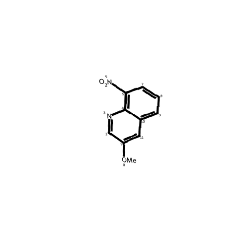 COc1cnc2c([N+](=O)[O-])cccc2c1